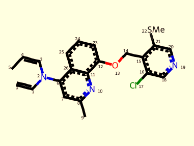 C=CN(/C=C\C)c1cc(C)nc2c(OCc3c(Cl)cncc3SC)cccc12